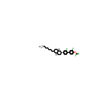 CCCCCCCC1CC[C@@H]2C[C@H](c3ccc(-c4ccc(OC(F)F)c(F)c4)c(F)c3)CC[C@@H]2C1